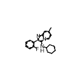 Cc1ccn2c(NC3CCCCC3)c(-c3ccccc3F)nc2c1